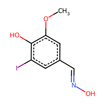 COc1cc(/C=N/O)cc(I)c1O